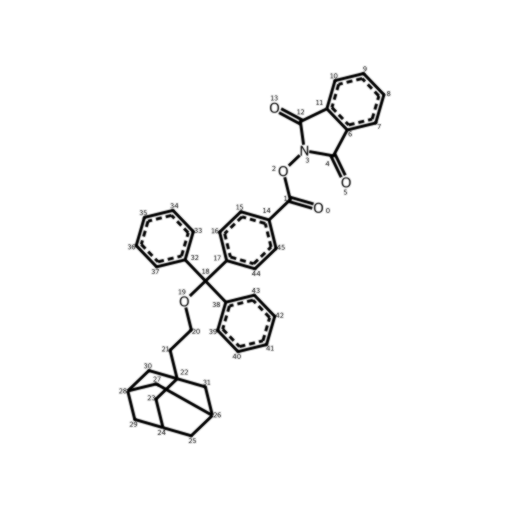 O=C(ON1C(=O)c2ccccc2C1=O)c1ccc(C(OCCC23CC4CC(CC(C4)C2)C3)(c2ccccc2)c2ccccc2)cc1